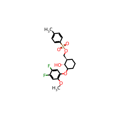 COc1cc(F)c(F)cc1OC1CCC[C@H](COS(=O)(=O)c2ccc(C)cc2)[C@H]1O